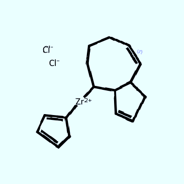 C1=CC[C]([Zr+2][CH]2CCC/C=C\C3CC=CC32)=C1.[Cl-].[Cl-]